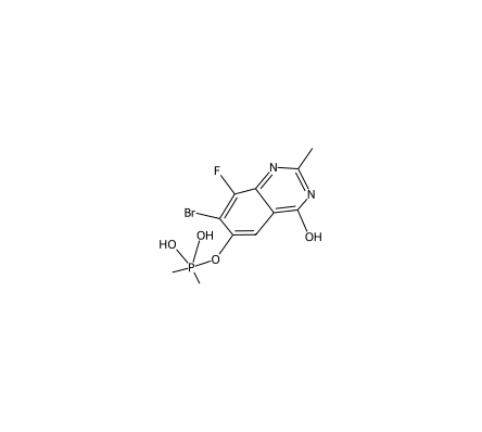 Cc1nc(O)c2cc(OP(C)(C)(O)O)c(Br)c(F)c2n1